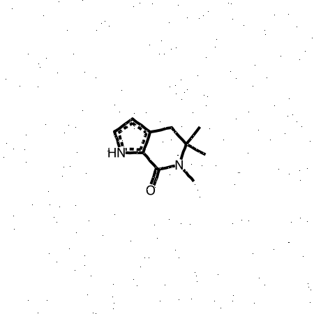 CN1C(=O)c2[nH]ccc2CC1(C)C